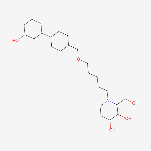 OCC1C(O)C(O)CCN1CCCCCOCC1CCC(C2CCCC(O)C2)CC1